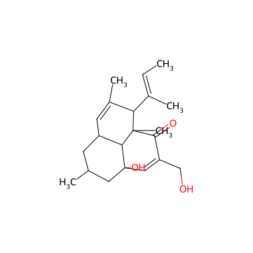 C/C=C(\C)C1C(C)=CC2CC(C)CC3(O)C=C(CO)C(=O)C1(C)C23